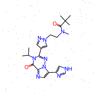 CC(C)n1c(-c2cnn(CCN(C)C(=O)C(C)(C)C)c2)nn2c(-c3c[nH]cn3)cnc2c1=O